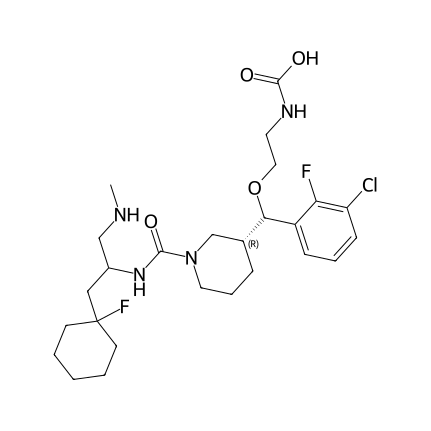 CNCC(CC1(F)CCCCC1)NC(=O)N1CCC[C@@H](C(OCCNC(=O)O)c2cccc(Cl)c2F)C1